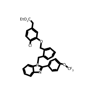 CCOC(=O)Cc1ccc(Cl)c(OCc2ccccc2Cn2c(-c3ccc(OC(F)(F)F)cc3)nc3ccccc32)c1